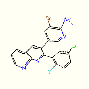 Nc1ncc(-c2cc3cccnc3nc2-c2cc(Cl)ccc2F)cc1Br